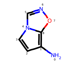 Nc1ccn2cnoc12